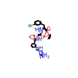 CCOC(=O)C(Cc1cccc(Br)c1)NC(=O)CNC(=O)c1cccc(NC=NN)c1